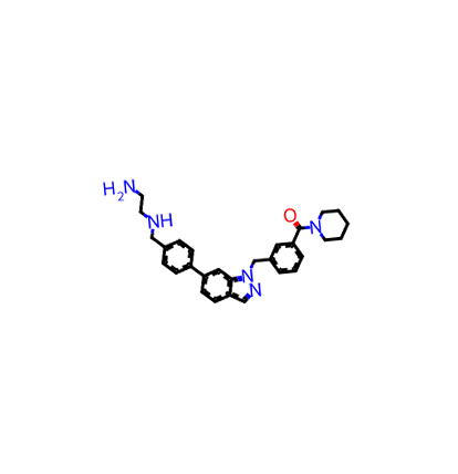 NCCNCc1ccc(-c2ccc3cnn(Cc4cccc(C(=O)N5CCCCC5)c4)c3c2)cc1